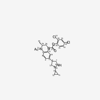 CC(=O)N1c2ccc(C3CNN(C4CC4)C3)cc2N(C(=O)Oc2ccc(Cl)cc2Cl)C[C@@H]1C